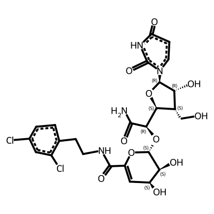 NC(=O)[C@H](O[C@H]1OC(C(=O)NCCc2ccc(Cl)cc2Cl)=C[C@H](O)[C@@H]1O)[C@H]1O[C@@H](n2ccc(=O)[nH]c2=O)[C@H](O)[C@@H]1CO